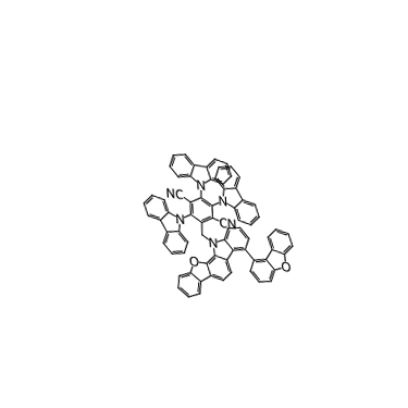 N#Cc1c(Cn2c3cccc(-c4cccc5oc6ccccc6c45)c3c3ccc4c5ccccc5oc4c32)c(-n2c3ccccc3c3ccccc32)c(C#N)c(-n2c3ccccc3c3ccccc32)c1-n1c2ccccc2c2ccccc21